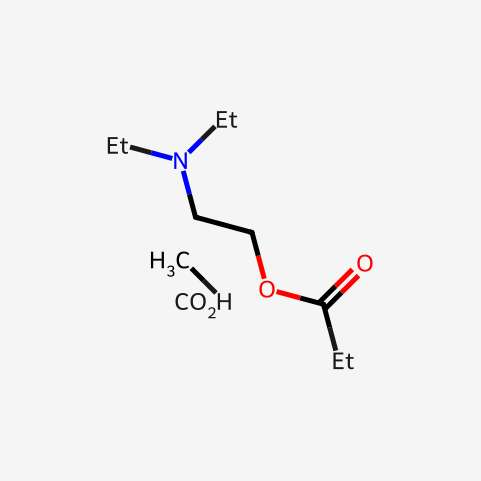 CC(=O)O.CCC(=O)OCCN(CC)CC